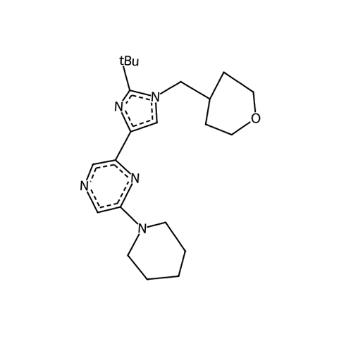 CC(C)(C)c1nc(-c2cncc(N3CCCCC3)n2)cn1CC1CCOCC1